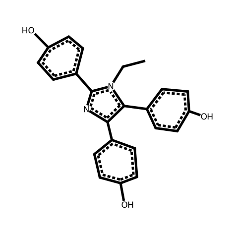 CCn1c(-c2ccc(O)cc2)nc(-c2ccc(O)cc2)c1-c1ccc(O)cc1